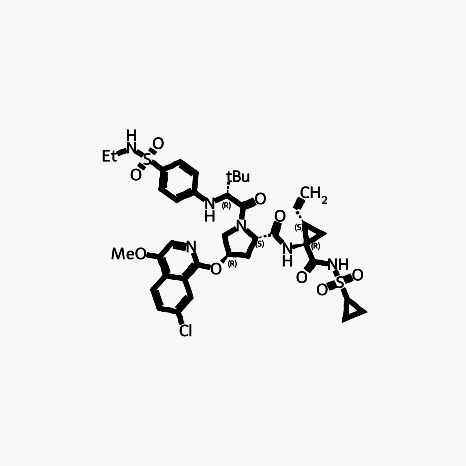 C=C[C@@H]1C[C@]1(NC(=O)[C@@H]1C[C@@H](Oc2ncc(OC)c3ccc(Cl)cc23)CN1C(=O)[C@H](Nc1ccc(S(=O)(=O)NCC)cc1)C(C)(C)C)C(=O)NS(=O)(=O)C1CC1